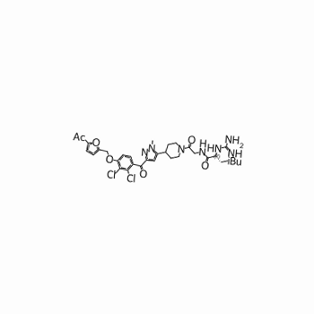 CCC(C)C[C@@H](NC(=N)N)C(=O)NCC(=O)N1CCC(c2cc(C(=O)c3ccc(OCc4ccc(C(C)=O)o4)c(Cl)c3Cl)nn2C)CC1